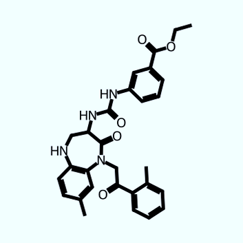 CCOC(=O)c1cccc(NC(=O)NC2CNc3ccc(C)cc3N(CC(=O)c3ccccc3C)C2=O)c1